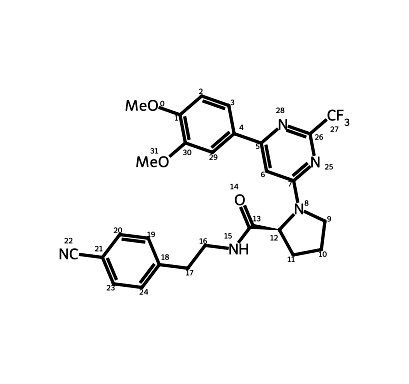 COc1ccc(-c2cc(N3CCC[C@H]3C(=O)NCCc3ccc(C#N)cc3)nc(C(F)(F)F)n2)cc1OC